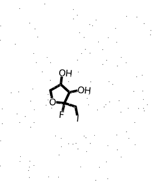 OC1COC(F)(CI)C1O